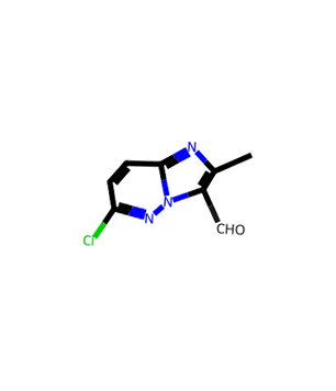 Cc1nc2ccc(Cl)nn2c1C=O